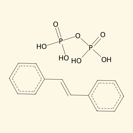 C(=Cc1ccccc1)c1ccccc1.O=P(O)(O)OP(=O)(O)O